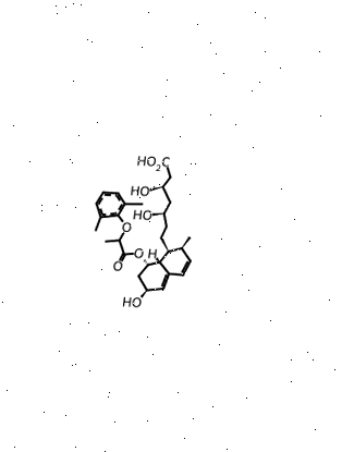 Cc1cccc(C)c1OC(C)C(=O)O[C@H]1C[C@H](O)C=C2C=C[C@H](C)[C@H](CC[C@@H](O)C[C@@H](O)CC(=O)O)[C@H]21